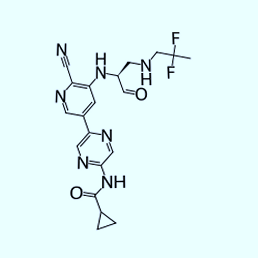 CC(F)(F)CNC[C@@H](C=O)Nc1cc(-c2cnc(NC(=O)C3CC3)cn2)cnc1C#N